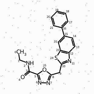 CCNC(=O)c1nnc(Cc2nc3ccc(-c4ccccc4)cc3s2)o1